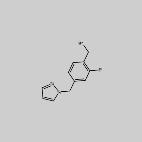 Fc1cc(Cn2cccn2)ccc1CBr